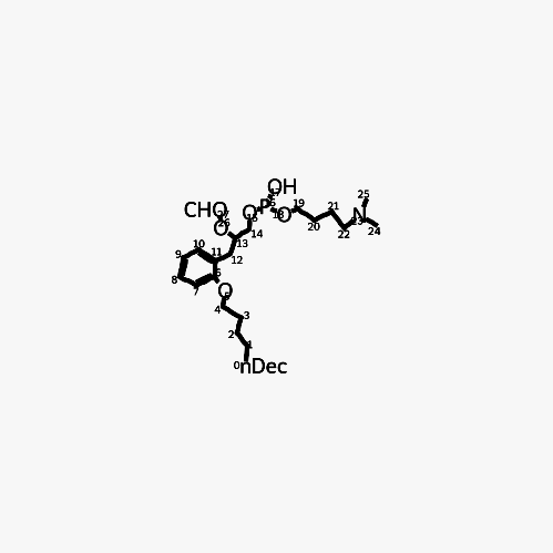 CCCCCCCCCCCCCCOc1ccccc1CC(COP(O)OCCCCN(C)C)OC=O